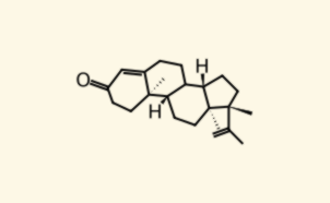 C=C(C)[C@@]1(C)CC[C@H]2C3CCC4=CC(=O)CC[C@]4(C)[C@H]3CC[C@@]21C